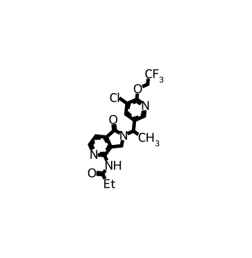 CCC(=O)Nc1nccc2c1CN(C(C)c1cnc(OCC(F)(F)F)c(Cl)c1)C2=O